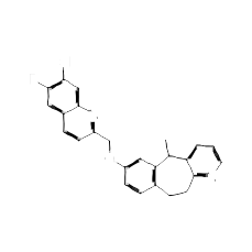 CC1c2cc(OCc3ccc4cc(F)c(Cl)cc4n3)ccc2CCc2ncccc21